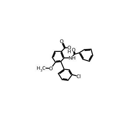 COc1ccc(C(=O)O)c(NC(=O)c2ccccc2)c1-c1cccc(Cl)c1